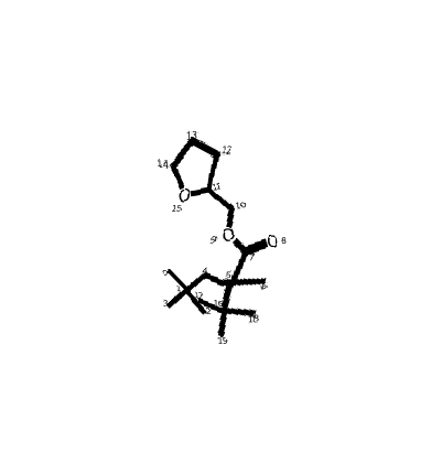 CC(C)(C)CC(C)(C(=O)OCC1CCCO1)C(C)(C)C